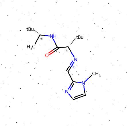 C[C@@H](NC(=O)[C@@H](/N=C/c1nccn1C)C(C)(C)C)C(C)(C)C